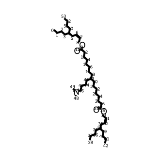 CCCCC(C/C=C\COC(=O)CCCCCCCC(CCCCCCCC(=O)OC/C=C\CC(CCCC)CCCC)CCCCN(C)C)CCCC